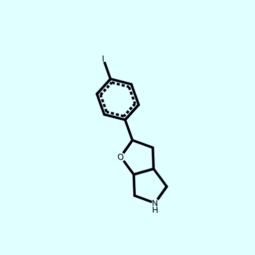 Ic1ccc(C2CC3CNCC3O2)cc1